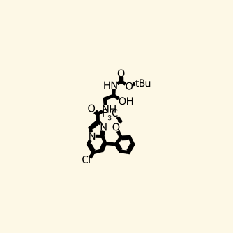 CC(C)(C)OC(=O)NC(O)CNC(=O)c1cn2cc(Cl)cc(-c3ccccc3OCC(F)(F)F)c2n1